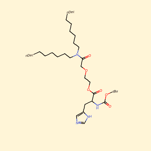 CCCCCCCCCCCCCCCCN(CCCCCCCCCCCCCCCC)C(=O)COCCOC(=O)C(Cc1cnc[nH]1)NC(=O)OC(C)(C)C